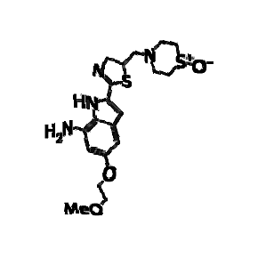 COCCOc1cc(N)c2[nH]c(C3=NCC(CN4CC[S+]([O-])CC4)S3)cc2c1